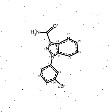 NC(=O)c1nn(-c2cccc(Br)c2)c2cccnc12